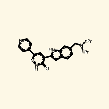 CCCN(CCC)Cc1ccc2cc(-c3cc(-c4ccncc4)n[nH]c3=O)[nH]c2c1